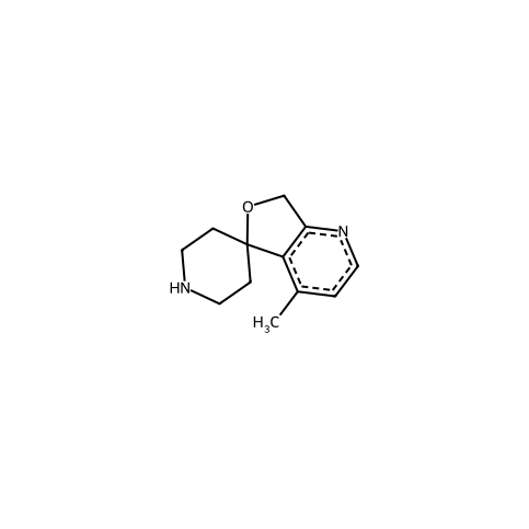 Cc1ccnc2c1C1(CCNCC1)OC2